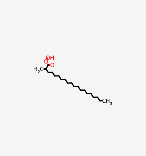 C=C(CCCCCCCCCCCCCCCCCC)C(=O)OO